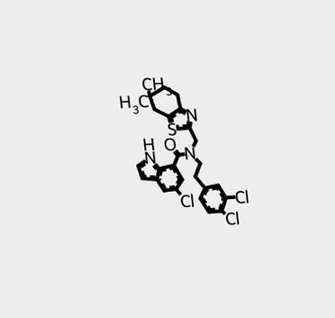 CC1(C)CCc2nc(CN(CCc3ccc(Cl)c(Cl)c3)C(=O)c3cc(Cl)cc4cc[nH]c34)sc2C1